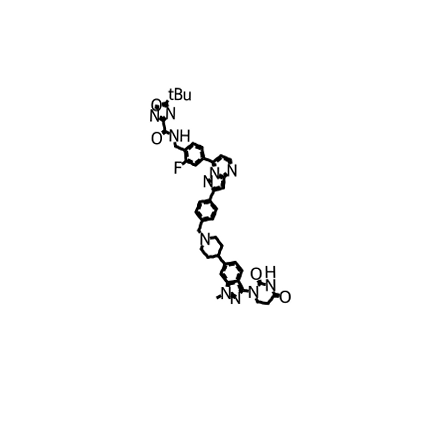 Cn1nc(N2CCC(=O)NC2=O)c2ccc(C3CCN(Cc4ccc(-c5cc6nccc(-c7ccc(CNC(=O)c8noc(C(C)(C)C)n8)c(F)c7)n6n5)cc4)CC3)cc21